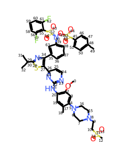 COc1cc(N2CCN(CCS(C)(=O)=O)CC2)c(C)cc1Nc1nccc(-c2sc(C(C)C)nc2-c2cccc(N(OS(=O)(=O)c3ccc(C)cc3)S(=O)(=O)c3c(F)cccc3F)c2)n1